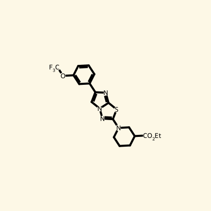 CCOC(=O)C1CCCN(c2nn3cc(-c4cccc(OC(F)(F)F)c4)nc3s2)C1